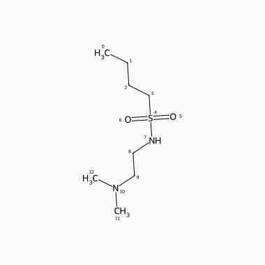 CCCCS(=O)(=O)NCCN(C)C